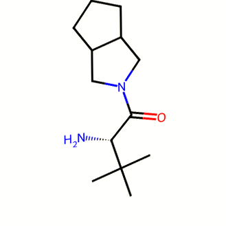 CC(C)(C)[C@H](N)C(=O)N1CC2CCCC2C1